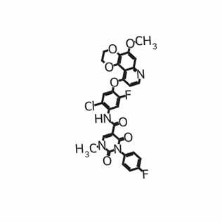 COc1cc2nccc(Oc3cc(Cl)c(NC(=O)c4cn(C)c(=O)n(-c5ccc(F)cc5)c4=O)cc3F)c2c2c1OCCO2